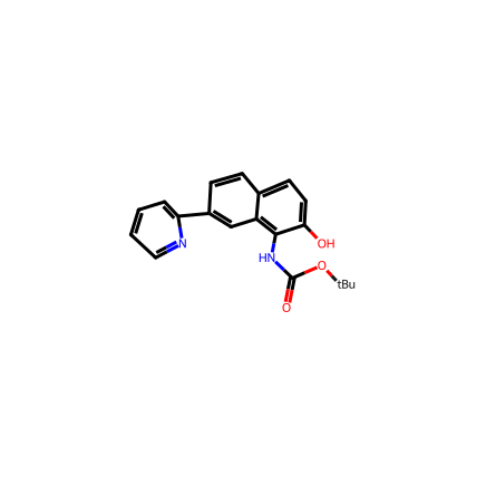 CC(C)(C)OC(=O)Nc1c(O)ccc2ccc(-c3ccccn3)cc12